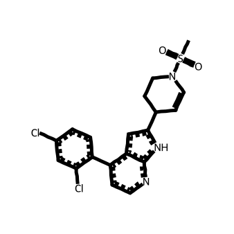 CS(=O)(=O)N1C=CC(c2cc3c(-c4ccc(Cl)cc4Cl)ccnc3[nH]2)CC1